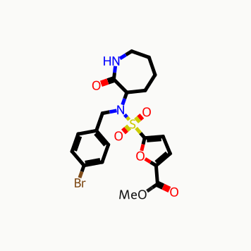 COC(=O)c1ccc(S(=O)(=O)N(Cc2ccc(Br)cc2)C2CCCCNC2=O)o1